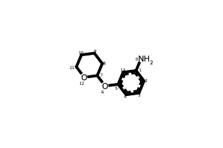 Nc1cccc(OC2CCCCO2)c1